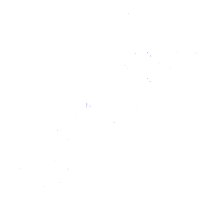 c1ccc(-c2nc(-c3ccccc3)nc(-c3ccc4cc(-c5ccc6c7c(cccc57)-c5ccccc5O6)cnc4c3)n2)cc1